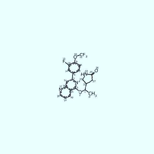 CC(Oc1nc(-c2ccc(OC(F)(F)F)c(F)c2)cc2ncccc12)C1CNC(=O)C1